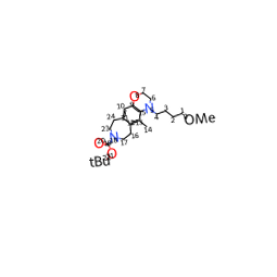 COCCCCN1CCOc2cc3c(c(C)c21)CCN(C(=O)OC(C)(C)C)CC3